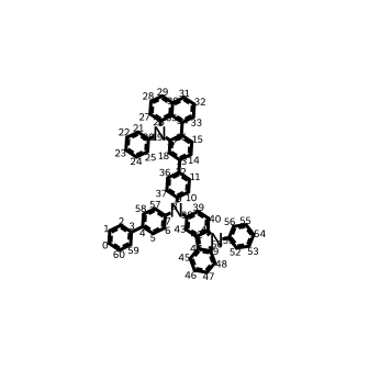 c1ccc(-c2ccc(N(c3ccc(-c4ccc5c(c4)N(c4ccccc4)c4cccc6cccc-5c46)cc3)c3ccc4c(c3)c3ccccc3n4-c3ccccc3)cc2)cc1